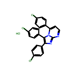 Cl.Clc1ccc(-c2nc3nccc(-c4ccc(Cl)cc4)n3c2-c2ccc(Cl)cc2)cc1